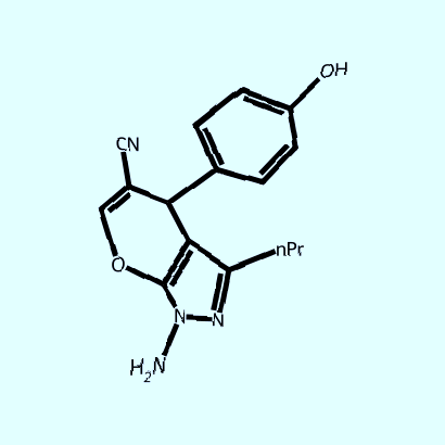 CCCc1nn(N)c2c1C(c1ccc(O)cc1)C(C#N)=CO2